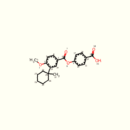 COc1ccc(C(=O)Oc2ccc(C(=O)O)cc2)cc1C1(C)CCCCC1